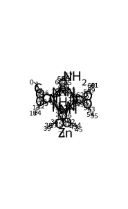 CCCCOc1cc2c(cc1OCCCC)-c1nc-2nc2[nH]c(nc3nc(nc4[nH]c(n1)c1cc(OCCCC)c(OCCCC)cc41)-c1cc(OCCCC)c(OCCCC)cc1-3)c1cc(N)ccc21.[Zn]